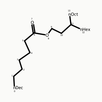 CCCCCCCCCCCCCCCC(=O)OCCC(CCCCCC)CCCCCCCC